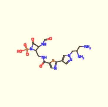 NCC(N)Cn1cc(-c2ncc(C(=O)NCC3C(NC=O)C(=O)N3S(=O)(=O)O)s2)cn1